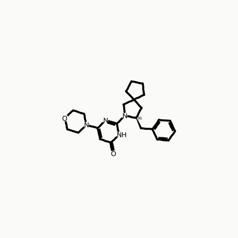 O=c1cc(N2CCOCC2)nc(N2CC3(CCCC3)C[C@H]2Cc2ccccc2)[nH]1